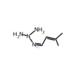 CC(C)=C/C=N\N(N)N